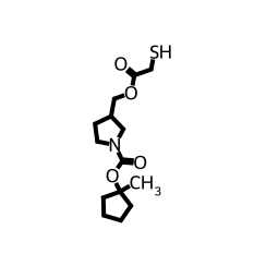 CC1(OC(=O)N2CCC(COC(=O)CS)C2)CCCC1